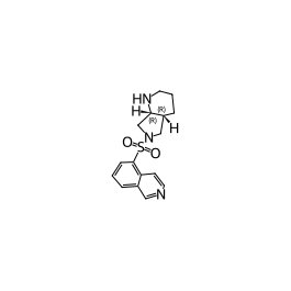 O=S(=O)(c1cccc2cnccc12)N1C[C@H]2CCCN[C@H]2C1